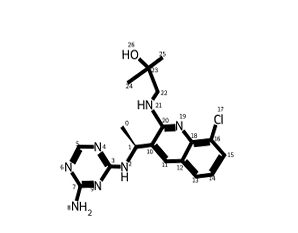 C[C@H](Nc1ncnc(N)n1)c1cc2cccc(Cl)c2nc1NCC(C)(C)O